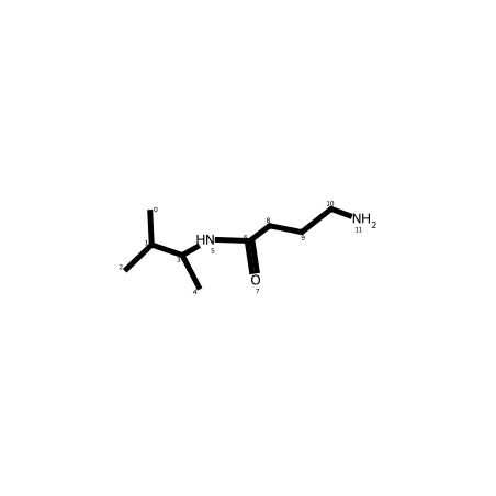 CC(C)C(C)NC(=O)CCCN